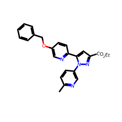 CCOC(=O)c1cc(-c2ccc(OCc3ccccc3)cn2)n(-c2ccc(C)nc2)n1